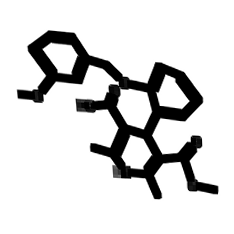 COC(=O)C1=C(C)NC(C)=C(C(=O)O)C1c1ccccc1OCc1cccc(OC)c1